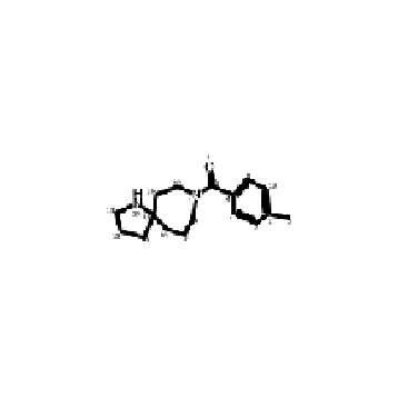 Cc1ccc(C(=O)N2CCCC3(CCCN3)CC2)cc1